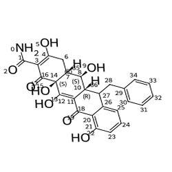 NC(=O)C1=C(O)C[C@@H]2[C@@H](O)[C@H]3C(=C(O)[C@]2(O)C1=O)C(=O)c1c(O)cccc1C3Cc1ccccc1